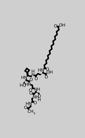 CC(=O)CNC(=O)CNC(=O)[C@H](CO)NC(=O)CNC(=O)[C@H](CO)NC(CNC(=O)CC[C@H](NC(=O)CCCCCCCCCCCCCCCCC(=O)O)C(=O)O)=C1CCC1